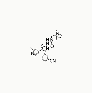 Cc1cc(-c2sc(NC(=O)N3CCC4(CCN4C)C3)nc2-c2cccc(C#N)c2)cc(C)n1